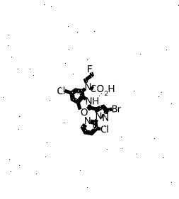 Cc1cc(Cl)cc(N(CCF)C(=O)O)c1NC(=O)c1cc(Br)nn1-c1ncccc1Cl